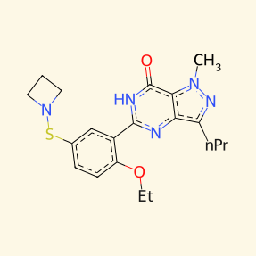 CCCc1nn(C)c2c(=O)[nH]c(-c3cc(SN4CCC4)ccc3OCC)nc12